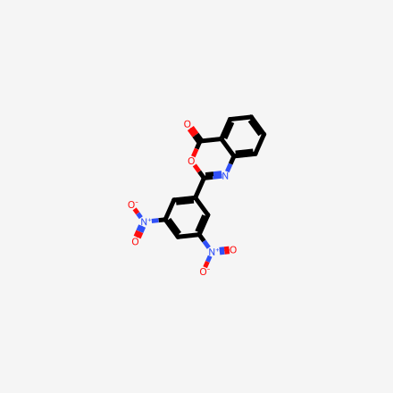 O=c1oc(-c2cc([N+](=O)[O-])cc([N+](=O)[O-])c2)nc2ccccc12